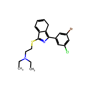 CCN(CC)CCSC1=NC(c2cc(Cl)cc(Br)c2)=C2CC=CC=C12